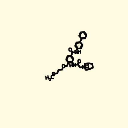 COCCCOCc1ccc(C(=O)Nc2ccc(-c3ccccc3)cc2)cc1NC(=O)CN1CC2CCC(C1)O2